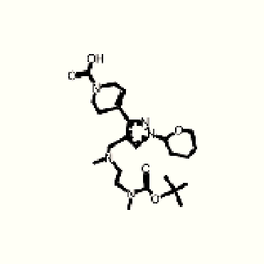 CN(CCN(C)C(=O)OC(C)(C)C)Cc1cn(C2CCCCO2)nc1C1=CCN(C(=O)O)CC1